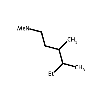 CCC(C)C(C)CCNC